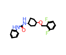 O=C(Nc1ccccc1)N[C@H]1CC[C@H](OCc2c(F)cccc2F)CC1